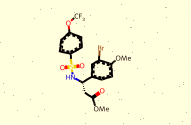 COC(=O)C[C@H](NS(=O)(=O)c1ccc(OC(F)(F)F)cc1)c1ccc(OC)c(Br)c1